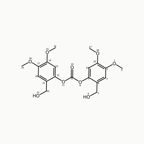 COc1cc(CO)c(OC(=O)Oc2cc(OC)c(OC)cc2CO)cc1OC